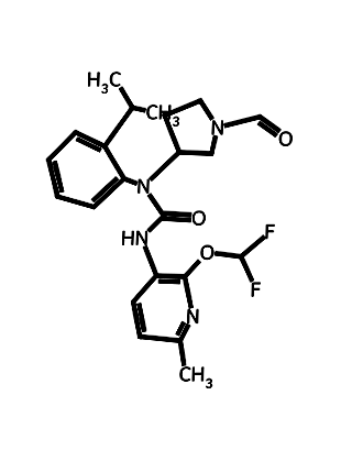 Cc1ccc(NC(=O)N(c2ccccc2C(C)C)C2CCN(C=O)C2)c(OC(F)F)n1